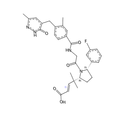 Cc1cc(Cc2ccc(C(=O)NCC(=O)N3[C@H](c4cccc(F)c4)CC[C@@H]3C(C)(C)/C=C/C(=O)O)cc2C)c(=O)[nH]n1